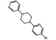 Brc1ccc(N2CCN(c3cccnc3)CC2)nc1